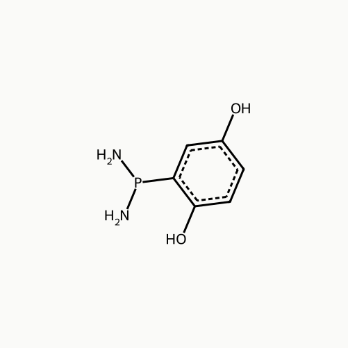 NP(N)c1cc(O)ccc1O